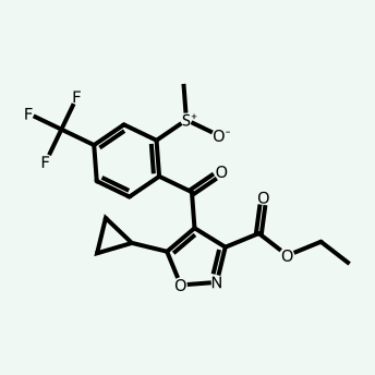 CCOC(=O)c1noc(C2CC2)c1C(=O)c1ccc(C(F)(F)F)cc1[S+](C)[O-]